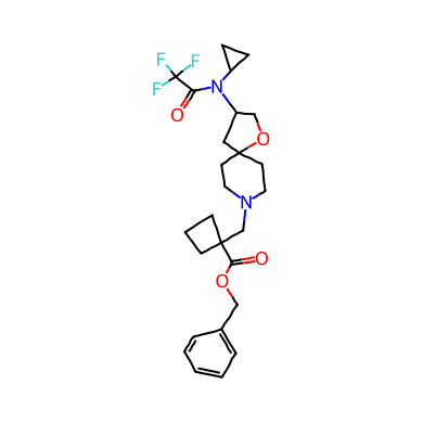 O=C(N(C1CC1)C1COC2(CCN(CC3(C(=O)OCc4ccccc4)CCC3)CC2)C1)C(F)(F)F